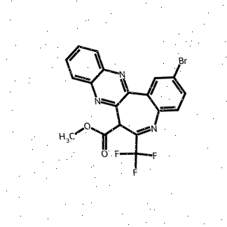 COC(=O)C1C(C(F)(F)F)=Nc2ccc(Br)cc2-c2nc3ccccc3nc21